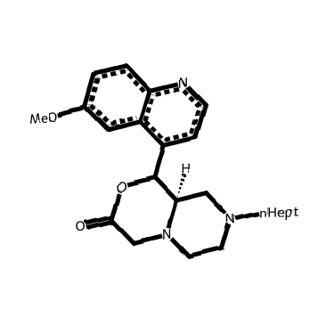 CCCCCCCN1CCN2CC(=O)OC(c3ccnc4ccc(OC)cc34)[C@H]2C1